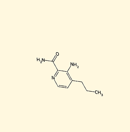 CCCc1ccnc(C(N)=O)c1N